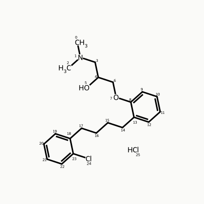 CN(C)CC(O)COc1ccccc1CCCCc1ccccc1Cl.Cl